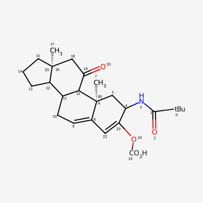 CC(C)(C)C(=O)NC1C[C@@]2(C)C(=CCC3C4CCC[C@@]4(C)CC(=O)C32)C=C1OC(=O)O